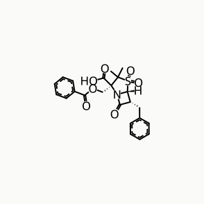 CC1(C)[C@](COC(=O)c2ccccc2)(C(=O)O)N2C(=O)[C@@H](Cc3ccccc3)[C@H]2S1(=O)=O